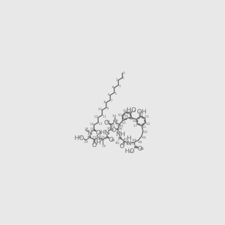 CCCCCCCCCCCCCCCC(=O)N(C)[C@H](CO)C(=O)N[C@H](C)C(=O)NCC(=O)N(C)[C@@H]1C(=O)N[C@@H](C)C(=O)N[C@H](C(=O)O)CCCc2ccc(O)c(c2)-c2cc1ccc2O